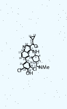 CNCC1CCC(Nc2c(C(=O)C3CC3)cnc3ccc(-c4cc(Cl)c(O)c(Cl)c4)cc23)CC1